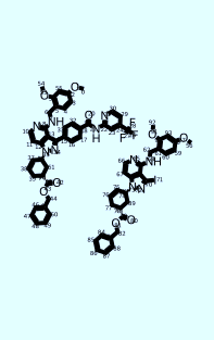 COc1ccc(CNc2nccc3c2c(-c2ccc(C(=O)Nc4cc(C(F)(F)F)ccn4)cc2)nn3[C@@H]2C=CC[C@@H](C(=O)OCc3ccccc3)C2)c(OC)c1.COc1ccc(CNc2nccc3c2c(I)nn3[C@@H]2C=CC[C@@H](C(=O)OCc3ccccc3)C2)c(OC)c1